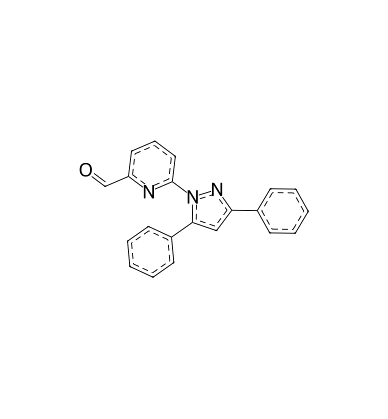 O=Cc1cccc(-n2nc(-c3ccccc3)cc2-c2ccccc2)n1